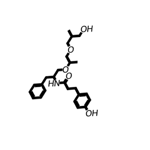 CC(CO)COCC(C)OCC(Cc1ccccc1)NC(=O)CCc1ccc(O)cc1